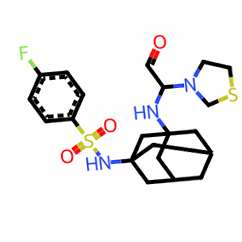 O=CC(NC12CC3CC(C1)CC(NS(=O)(=O)c1ccc(F)cc1)(C3)C2)N1CCSC1